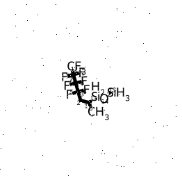 CC(CC(F)(F)C(F)(F)C(F)(F)C(F)(F)F)[SiH2]O[SiH3]